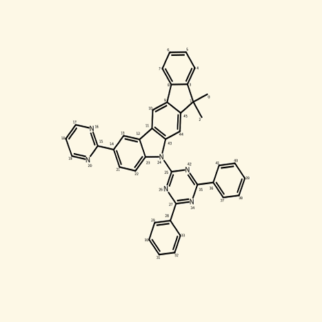 CC1(C)c2ccccc2-c2cc3c4cc(-c5ncccn5)ccc4n(-c4nc(-c5ccccc5)nc(-c5ccccc5)n4)c3cc21